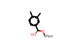 CCCCCO[C@@H](O)c1ccc(C)c(C)c1